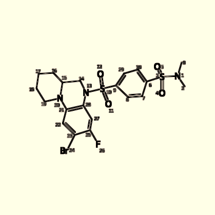 CN(C)S(=O)(=O)c1ccc(S(=O)(=O)N2CC3CCCCN3c3cc(Br)c(F)cc32)cc1